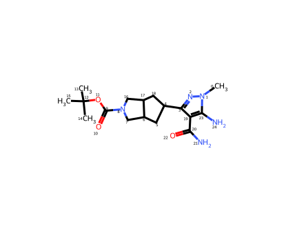 Cn1nc(C2CC3CN(C(=O)OC(C)(C)C)CC3C2)c(C(N)=O)c1N